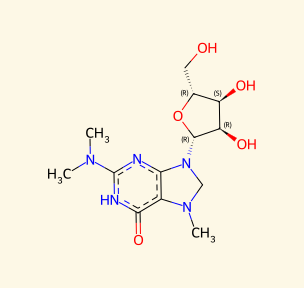 CN(C)c1nc2c(c(=O)[nH]1)N(C)CN2[C@@H]1O[C@H](CO)[C@@H](O)[C@H]1O